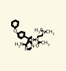 CC(=O)N(CCN(C)C)n1cc(-c2ccc(Oc3ccccc3)cc2)c2c(N)ncnc21